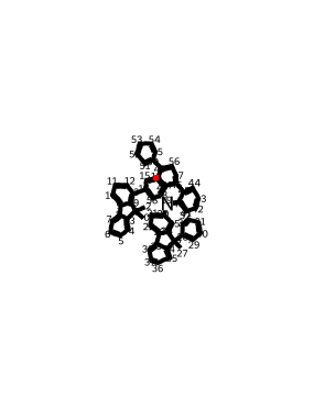 CC1(C)c2ccccc2-c2cccc(-c3cccc(N(c4ccc5c(c4)C(C)(c4ccccc4)c4ccccc4-5)c4ccccc4-c4ccc(-c5ccccc5)cc4)c3)c21